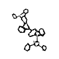 c1ccc(-c2nc(-c3ccccc3)nc(-n3c4ccccc4c4cc(-c5cc6cc7c8ccccc8n(-c8ccccc8)c7cc6c6ccccc56)ccc43)n2)cc1